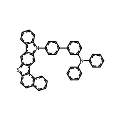 c1ccc(N(c2ccccc2)c2cccc(-c3ccc(-n4c5ccccc5c5cc6sc7ccc8ccccc8c7c6cc54)cc3)c2)cc1